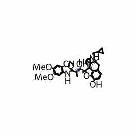 COc1cc(C#N)c(NC(=O)/C(C)=C(\O)[C@@H]2Oc3c(O)ccc4c3[C@@]23CCN(CC2CC2)[C@H](C4)[C@@]3(C)O)cc1OC